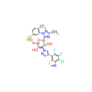 Cc1nc([C@@H]2O[C@H](CO)[C@H](O)[C@H](n3cc(-c4c(F)c(F)c(Cl)c5ncsc45)cn3)[C@H]2O)n(-c2cc(Cl)ccc2C(F)(F)F)n1